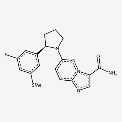 CSc1cc(F)cc([C@H]2CCCN2c2ccc3ncc(C(N)=O)n3n2)c1